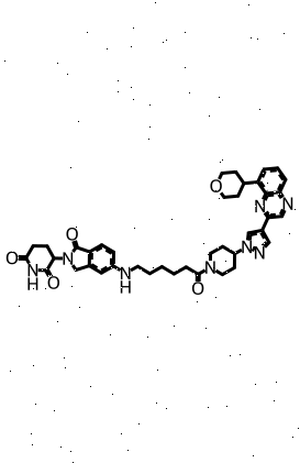 O=C1CCC(N2Cc3cc(NCCCCCC(=O)N4CCC(n5cc(-c6cnc7cccc(C8CCOCC8)c7n6)cn5)CC4)ccc3C2=O)C(=O)N1